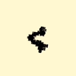 COc1ccccc1CCNCCc1cccc(CCNC(O)Cc2ccc(O)c3[nH]c(=O)sc23)c1